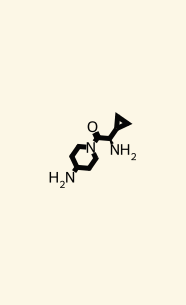 NC1CCN(C(=O)[C@H](N)C2CC2)CC1